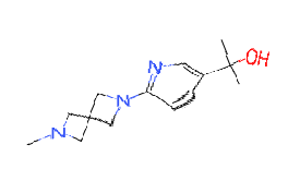 CN1CC2(C1)CN(c1ccc(C(C)(C)O)cn1)C2